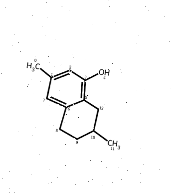 Cc1cc(O)c2c(c1)CCC(C)C2